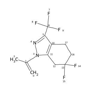 C=C(C)n1nc(C(F)(F)F)c2c1CC(F)(F)CC2